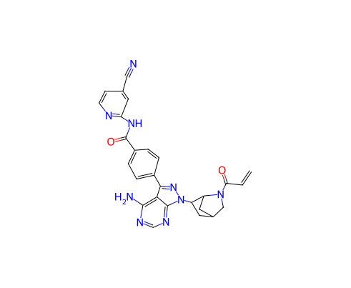 C=CC(=O)N1CC2CC1C(n1nc(-c3ccc(C(=O)Nc4cc(C#N)ccn4)cc3)c3c(N)ncnc31)C2